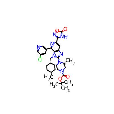 C[C@@H]1CN(C(=O)OC(C)(C)C)CCN1c1nc2cc(-c3noc(=O)[nH]3)nc(-c3cncc(Cl)c3)c2n1C[C@H]1CC[C@H](C)CC1